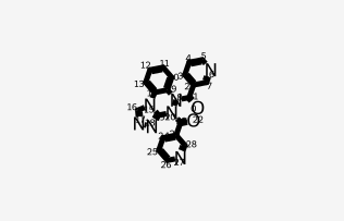 O=C(c1cccnc1)N1c2ccccc2-n2cnnc2N1C(=O)c1cccnc1